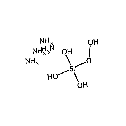 N.N.N.N.OO[Si](O)(O)O